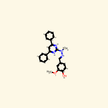 COc1cc(/C=N/N(C)c2nc(-c3ccccc3)cc(-c3ccccc3)n2)ccc1O